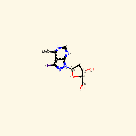 COc1ncnc2c1c(I)nn2[C@H]1C[C@H](O)[C@@H](CO)O1